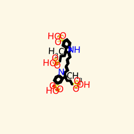 CC1(CCCS(=O)(=O)O)C(/C=C/C=C/C=C2/Nc3ccc(S(=O)(=O)O)cc3C2(C)CCCS(=O)(=O)O)=Nc2ccc(S(=O)(=O)O)cc21